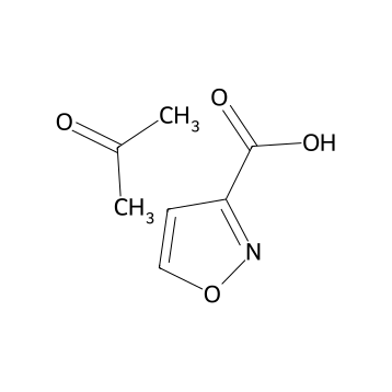 CC(C)=O.O=C(O)c1ccon1